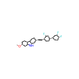 COc1ccc2c(c1)[nH]c1cc(C#Cc3ccc(-c4ccc(F)c(F)c4)cc3F)ccc12